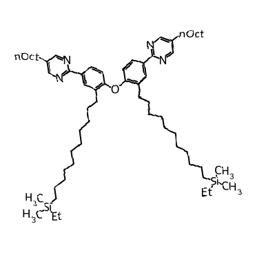 CCCCCCCCc1cnc(-c2ccc(Oc3ccc(-c4ncc(CCCCCCCC)cn4)cc3CCCCCCCCCCC[Si](C)(C)CC)c(CCCCCCCCCCC[Si](C)(C)CC)c2)nc1